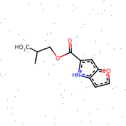 CC(COC(=O)c1cc2occc2[nH]1)C(=O)O